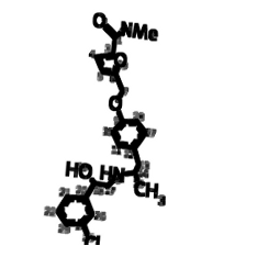 CNC(=O)c1ccc(COc2ccc(CC(C)NCC(O)c3cccc(Cl)c3)cc2)o1